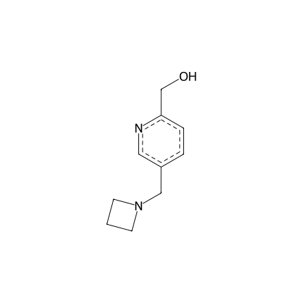 OCc1ccc(CN2CCC2)cn1